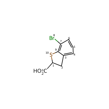 O=C(O)C1Cc2cccc(Br)c2S1